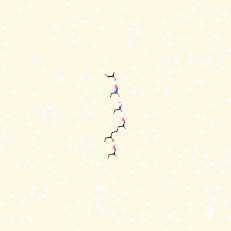 CC/C(=C\OCC(C)CC)CO/C=C(\CC)COCC(C)CCCC(CC)COCC(C)CC